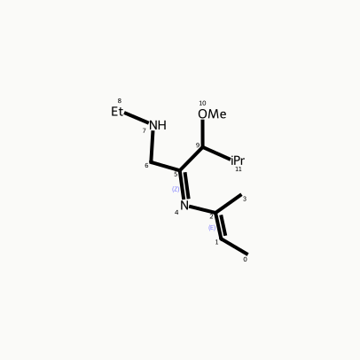 C/C=C(C)/N=C(/CNCC)C(OC)C(C)C